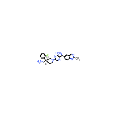 NC[C@]1(c2ccccc2F)[C@@H]2CCN(c3cnc4c(-c5ccc6nc(C(F)(F)F)ncc6c5)n[nH]c4n3)C[C@@H]21